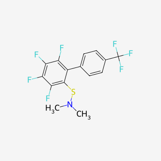 CN(C)Sc1c(F)c(F)c(F)c(F)c1-c1ccc(C(F)(F)F)cc1